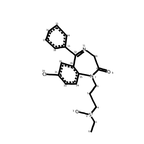 CC[S+]([O-])CCCN1C(=O)CN=C(c2ccccc2)c2cc(Cl)ccc21